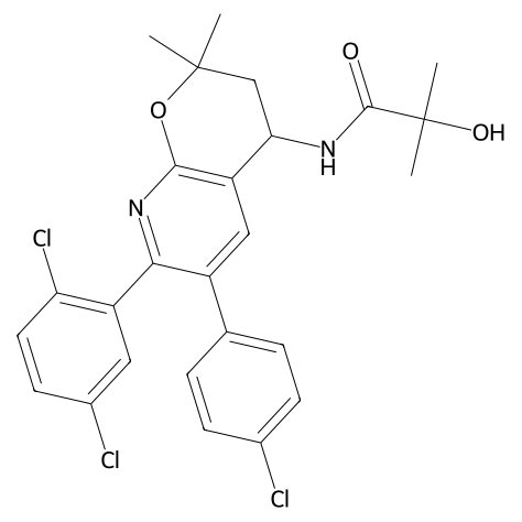 CC1(C)CC(NC(=O)C(C)(C)O)c2cc(-c3ccc(Cl)cc3)c(-c3cc(Cl)ccc3Cl)nc2O1